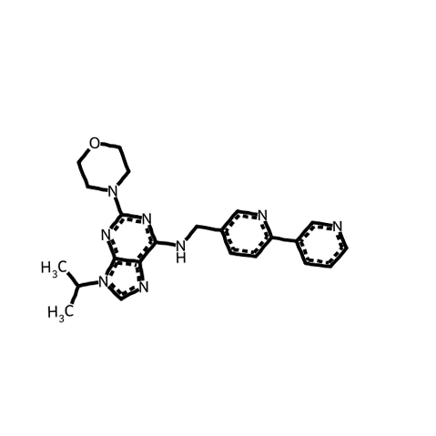 CC(C)n1cnc2c(NCc3ccc(-c4cccnc4)nc3)nc(N3CCOCC3)nc21